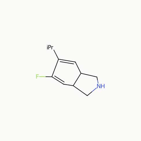 CC(C)C1=CC2CNCC2C=C1F